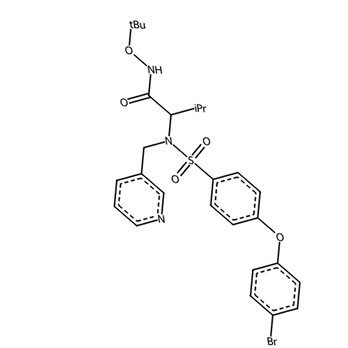 CC(C)C(C(=O)NOC(C)(C)C)N(Cc1cccnc1)S(=O)(=O)c1ccc(Oc2ccc(Br)cc2)cc1